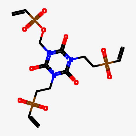 C=CS(=O)(=O)CCn1c(=O)n(CCS(=O)(=O)C=C)c(=O)n(COS(=O)(=O)C=C)c1=O